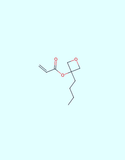 C=CC(=O)OC1(CCCC)COC1